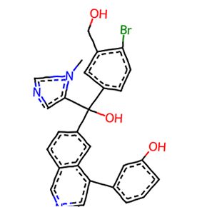 Cn1cncc1C(O)(c1ccc(Br)c(CO)c1)c1ccc2cncc(-c3cccc(O)c3)c2c1